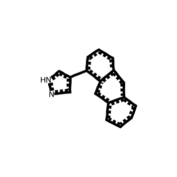 c1ccc2cc3c(-c4cn[nH]c4)cccc3cc2c1